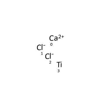 [Ca+2].[Cl-].[Cl-].[Ti]